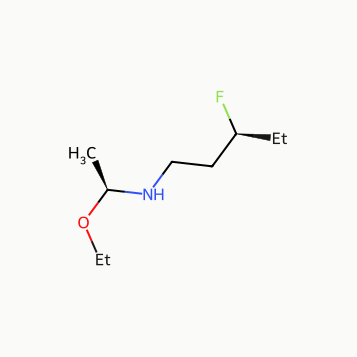 CCO[C@@H](C)NCC[C@@H](F)CC